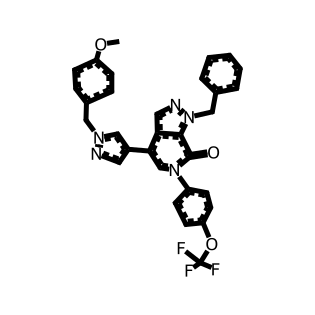 COc1ccc(Cn2cc(-c3cn(-c4ccc(OC(F)(F)F)cc4)c(=O)c4c3cnn4Cc3ccccc3)cn2)cc1